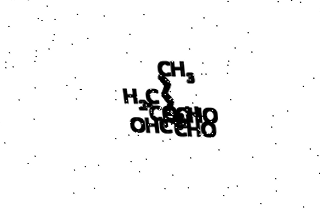 C=CC(=O)O.CC=CC=C[CH2][Fe]([CH]=O)([CH]=O)[CH]=O